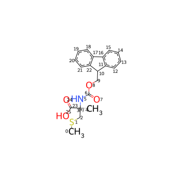 CSC[C@](C)(NC(=O)OCC1c2ccccc2-c2ccccc21)C(=O)O